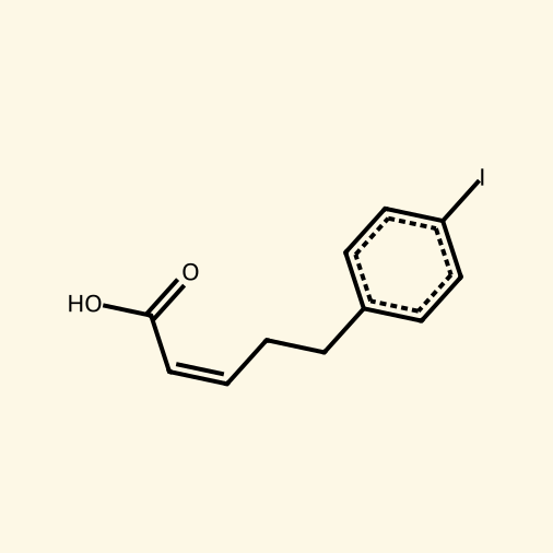 O=C(O)/C=C\CCc1ccc(I)cc1